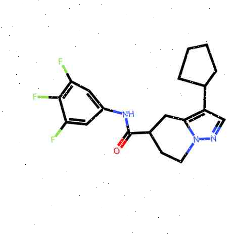 O=C(Nc1cc(F)c(F)c(F)c1)C1CCn2ncc(C3CCCC3)c2C1